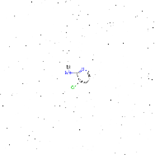 [CH2]CNc1ncccc1Cl